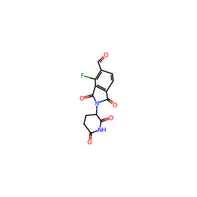 O=Cc1ccc2c(c1F)C(=O)N(C1CCC(=O)NC1=O)C2=O